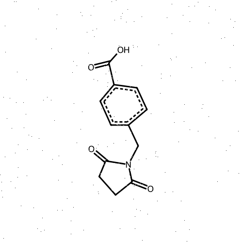 O=C(O)c1ccc(CN2C(=O)CCC2=O)cc1